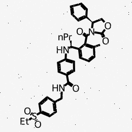 CCC[C@H](Nc1ccc(C(=O)NCc2ccc(S(=O)(=O)CC)cc2)cc1)c1cccc(C)c1C(=O)N1C(=O)OC[C@@H]1c1ccccc1